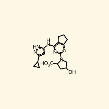 O=C(O)C1CC(O)CN1c1nc2c(c(Nc3cc(C4CC4)n[nH]3)n1)CCC2